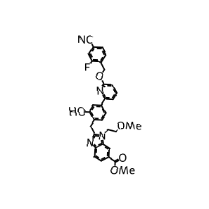 COCCn1c(Cc2ccc(-c3cccc(OCc4ccc(C#N)cc4F)n3)cc2O)nc2ccc(C(=O)OC)cc21